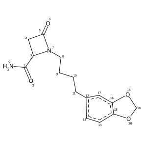 NC(=O)C1CC(=O)N1CCCCc1ccc2c(c1)OCO2